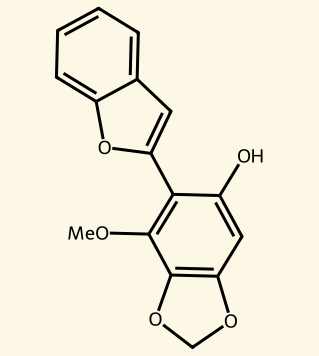 COc1c2c(cc(O)c1-c1cc3ccccc3o1)OCO2